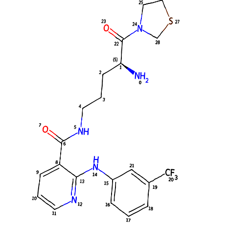 N[C@@H](CCCNC(=O)c1cccnc1Nc1cccc(C(F)(F)F)c1)C(=O)N1CCSC1